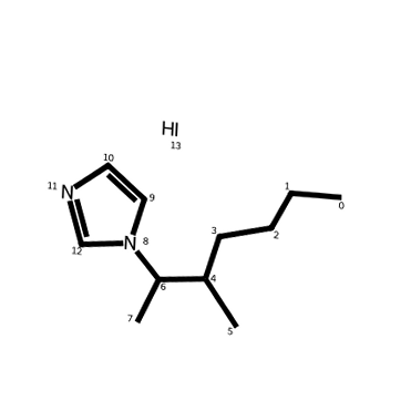 CCCCC(C)C(C)n1ccnc1.I